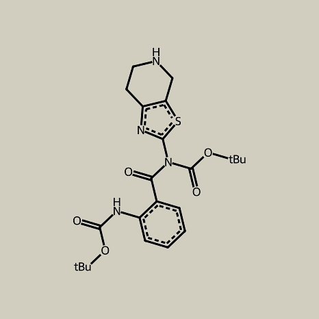 CC(C)(C)OC(=O)Nc1ccccc1C(=O)N(C(=O)OC(C)(C)C)c1nc2c(s1)CNCC2